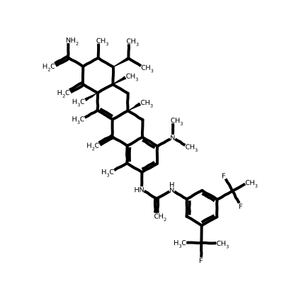 C=C(Nc1cc(C(C)(C)F)cc(C(C)(F)F)c1)Nc1cc(N(C)C)c2c(c1C)C(=C)C1=C(C)[C@]3(C)C(=C)C(C(=C)N)C(C)[C@@H](C(C)C)[C@]3(C)C[C@]1(C)C2